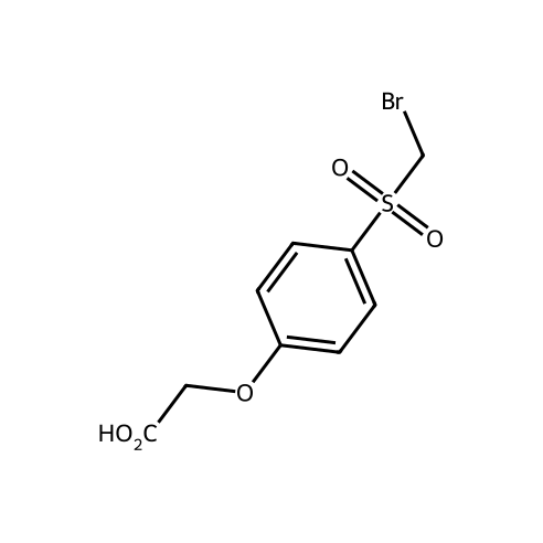 O=C(O)COc1ccc(S(=O)(=O)CBr)cc1